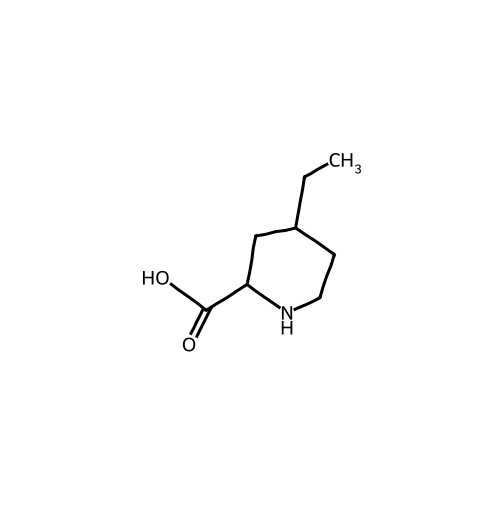 CCC1CCNC(C(=O)O)C1